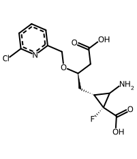 NC1[C@@H](C[C@H](CC(=O)O)OCc2cccc(Cl)n2)[C@]1(F)C(=O)O